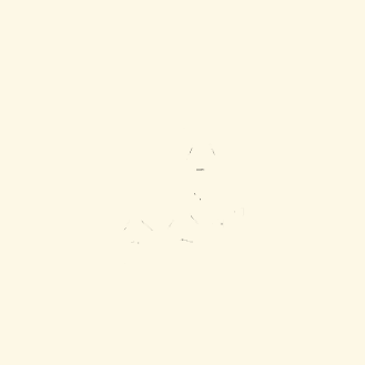 Oc1cccc(-c2cccc3c2CCC(c2cccc(OC(F)F)c2)N3CC(O)C(F)(F)F)c1